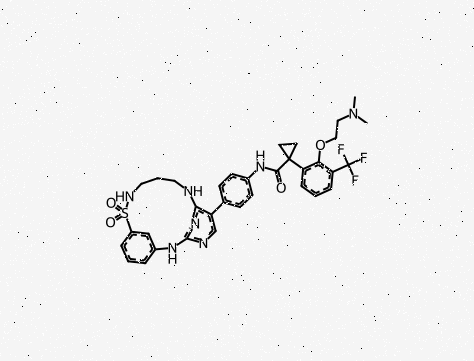 CN(C)CCOc1c(C(F)(F)F)cccc1C1(C(=O)Nc2ccc(-c3cnc4nc3NCCCNS(=O)(=O)c3cccc(c3)N4)cc2)CC1